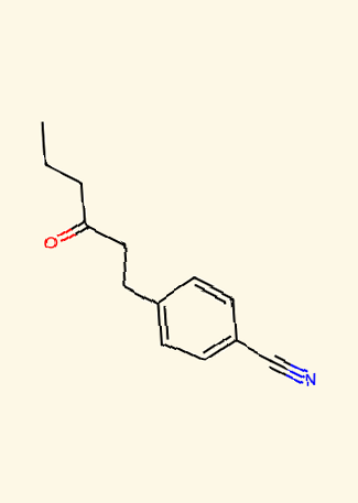 CCCC(=O)CCc1ccc(C#N)cc1